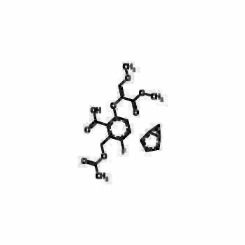 COC=C(Oc1ccc(F)c(COC(C)=O)c1C(=O)O)C(=O)OC.c1cc2cc-2c1